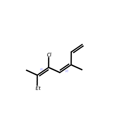 C=C/C(C)=C\C(Cl)=C(\C)CC